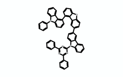 c1ccc(-c2nc(-c3ccccc3)nc(-n3c4ccccc4c4cc(-c5ccc6oc7cccc(-c8cccc9c8c8ccccc8n9-c8ccccc8)c7c6c5)ccc43)n2)cc1